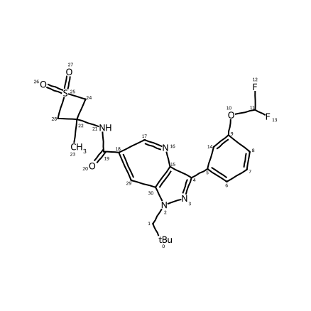 CC(C)(C)Cn1nc(-c2cccc(OC(F)F)c2)c2ncc(C(=O)NC3(C)CS(=O)(=O)C3)cc21